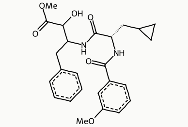 COC(=O)C(O)C(Cc1ccccc1)NC(=O)[C@H](CC1CC1)NC(=O)c1cccc(OC)c1